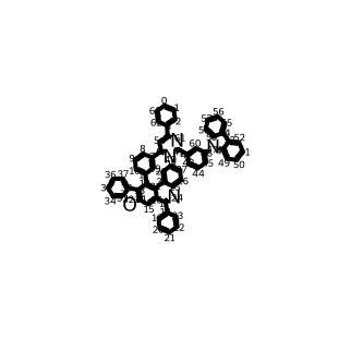 c1ccc(-c2cc(-c3cccc(-c4c5c(cc6c(-c7ccccc7)nc7ccccc7c46)oc4ccccc45)c3)nc(-c3cccc(-n4c5ccccc5c5ccccc54)c3)n2)cc1